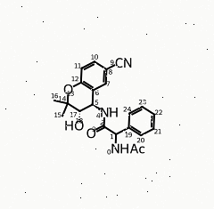 CC(=O)NC(C(=O)N[C@@H]1c2cc(C#N)ccc2OC(C)(C)[C@H]1O)c1ccccc1